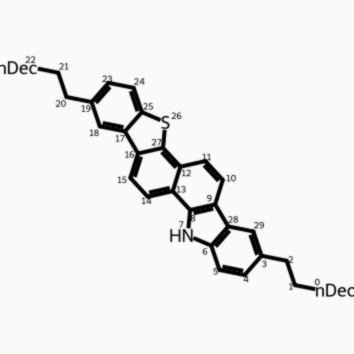 CCCCCCCCCCCCc1ccc2[nH]c3c(ccc4c3ccc3c5cc(CCCCCCCCCCCC)ccc5sc34)c2c1